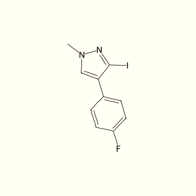 Cn1cc(-c2ccc(F)cc2)c(I)n1